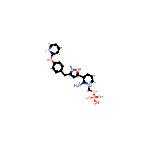 Nc1c(-c2cc(Cc3ccc(Oc4ccccn4)cc3)no2)ccc[n+]1COP(=O)([O-])O